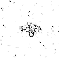 CC(C)[Si](C(C)C)(C(C)C)n1c(S(=O)(=O)C(F)(F)F)c(CCC(=O)O)c2ccccc21